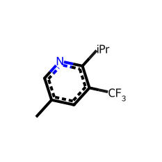 Cc1cnc(C(C)C)c(C(F)(F)F)c1